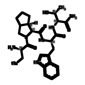 C[C@@H](O)[C@@H](NC(=O)[C@H](Cc1c[nH]c2ccccc12)NC(=O)[C@@H]1[C@@H]2CCCC2CN1C(=O)[C@@H](N)CC(C)(C)C)C(N)=O